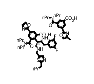 CCCN(CCC)C(=O)c1cc(-c2ncco2)cc(C(=O)O)c1[C@H](CNCc1cnc(CC(C)C)s1)[C@@H](N)Cc1cc(F)cc(F)c1.CCCN(CCC)C(=O)c1cc(C(=O)O)cc(-c2nc(C)co2)c1